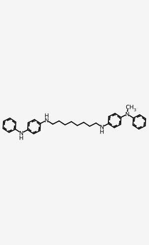 CN(c1ccccc1)c1ccc(NCCCCCCCCNc2ccc(Nc3ccccc3)cc2)cc1